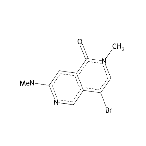 CNc1cc2c(=O)n(C)cc(Br)c2cn1